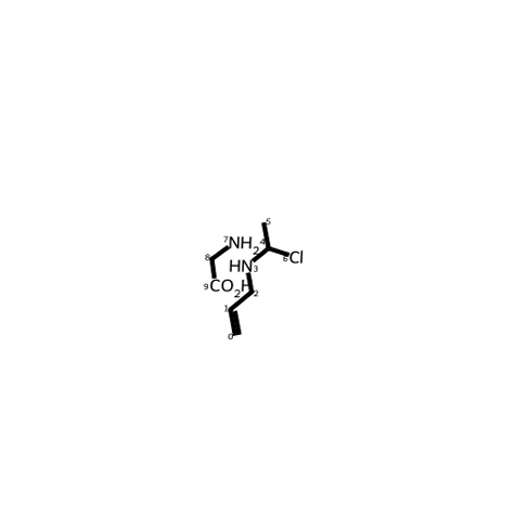 C=CCNC(C)Cl.NCC(=O)O